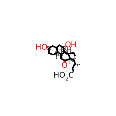 C[C@H](CCC(=O)O)[C@H]1CC[C@H]2[C@@H]3[C@@H](O)CC4C[C@H](O)CC[C@]4(C)[C@H]3CC(=O)[C@]12C